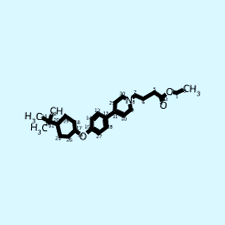 CCOC(=O)CCCN1CC=C(c2ccc(OC3CCC(C(C)(C)C)CC3)cc2)CC1